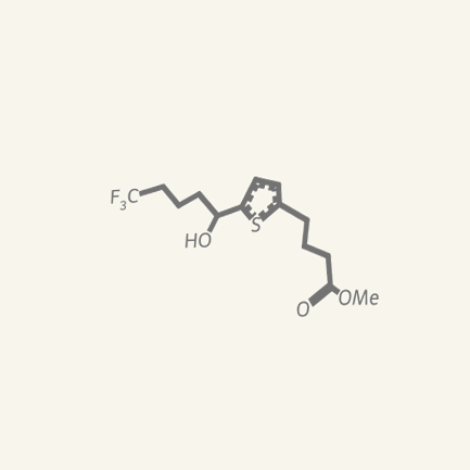 COC(=O)CCCc1ccc(C(O)CCCC(F)(F)F)s1